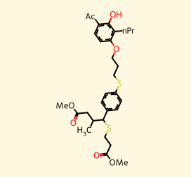 CCCc1c(OCCCSc2ccc(C(SCCC(=O)OC)C(C)CC(=O)OC)cc2)ccc(C(C)=O)c1O